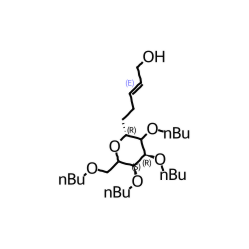 CCCCOCC1O[C@H](CC/C=C/CO)C(OCCCC)[C@@H](OCCCC)[C@H]1OCCCC